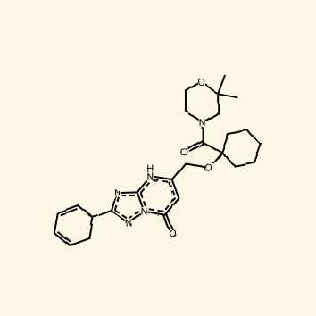 CC1(C)CN(C(=O)C2(OCc3cc(=O)n4nc(C5C=CC=CC5)nc4[nH]3)CCCCC2)CCO1